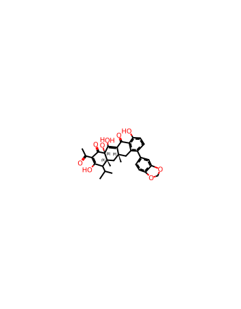 CC(=O)C1=C(O)C(C(C)C)[C@@]2(C)C[C@@]3(C)Cc4c(-c5ccc6c(c5)OCO6)ccc(O)c4C(=O)C3=C(O)[C@@]2(O)C1=O